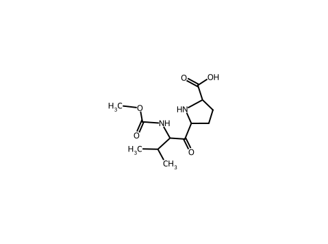 COC(=O)NC(C(=O)C1CCC(C(=O)O)N1)C(C)C